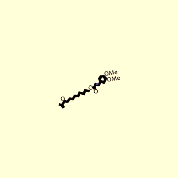 C=C(C)C(=O)CCCCCCCCCOC(=O)/C=C/c1ccc(OC)c(OC)c1